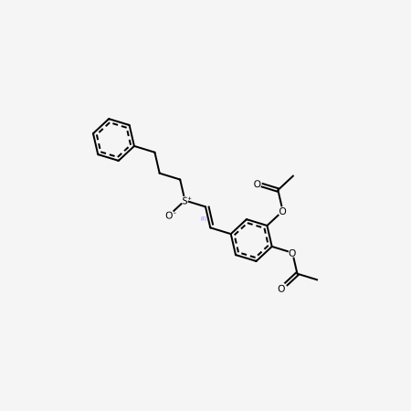 CC(=O)Oc1ccc(/C=C/[S+]([O-])CCCc2ccccc2)cc1OC(C)=O